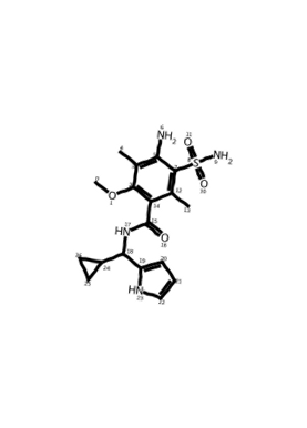 COc1c(C)c(N)c(S(N)(=O)=O)c(C)c1C(=O)NC(c1ccc[nH]1)C1CC1